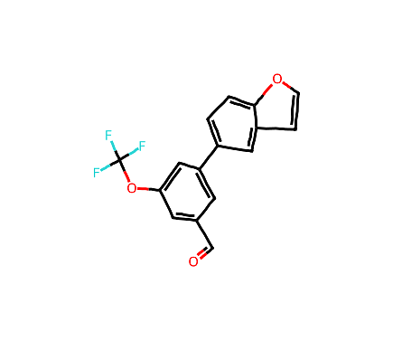 O=Cc1cc(OC(F)(F)F)cc(-c2ccc3occc3c2)c1